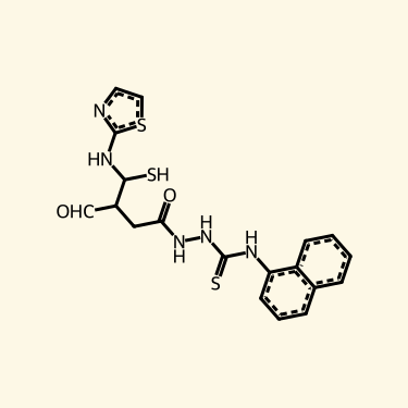 O=CC(CC(=O)NNC(=S)Nc1cccc2ccccc12)C(S)Nc1nccs1